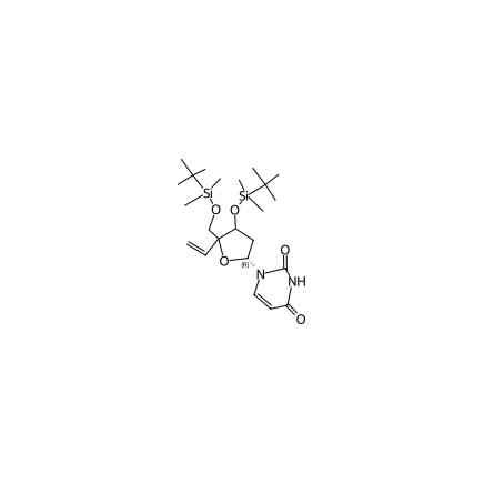 C=CC1(CO[Si](C)(C)C(C)(C)C)O[C@@H](n2ccc(=O)[nH]c2=O)CC1O[Si](C)(C)C(C)(C)C